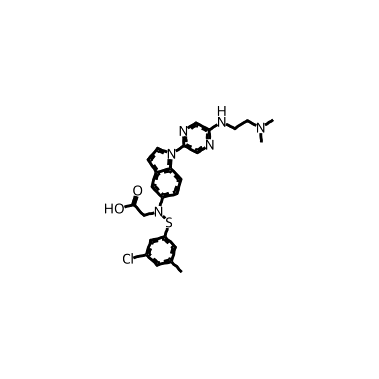 Cc1cc(Cl)cc(SN(CC(=O)O)c2ccc3c(ccn3-c3cnc(NCCN(C)C)cn3)c2)c1